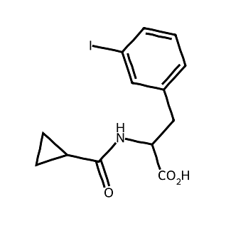 O=C(NC(Cc1cccc(I)c1)C(=O)O)C1CC1